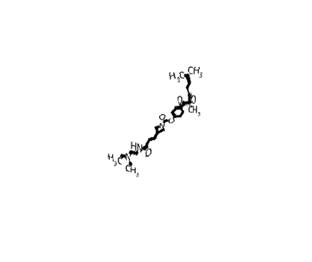 CCN(CC)CCNC(=O)CCC1CN(C(=O)OC2CCC3(CC2)OC3[C@]2(C)O[C@@H]2CC=C(C)C)C1